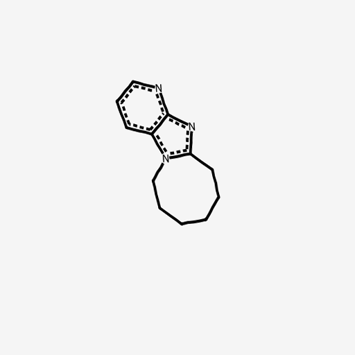 c1cnc2nc3n(c2c1)CCCCCC3